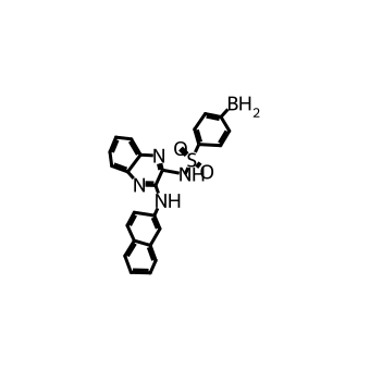 Bc1ccc(S(=O)(=O)Nc2nc3ccccc3nc2Nc2ccc3ccccc3c2)cc1